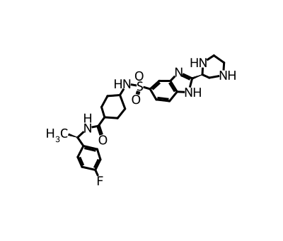 C[C@@H](NC(=O)C1CCC(NS(=O)(=O)c2ccc3[nH]c([C@@H]4CNCCN4)nc3c2)CC1)c1ccc(F)cc1